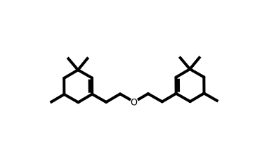 CC1CC(CCOCCC2=CC(C)(C)CC(C)C2)=CC(C)(C)C1